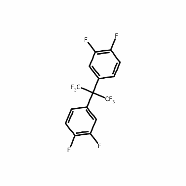 Fc1ccc(C(c2ccc(F)c(F)c2)(C(F)(F)F)C(F)(F)F)cc1F